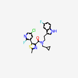 Cc1nc(C(=O)N(CCc2c[nH]c3ccc(F)cc23)CC2CC2)c(-c2cc(Cl)cnc2F)s1